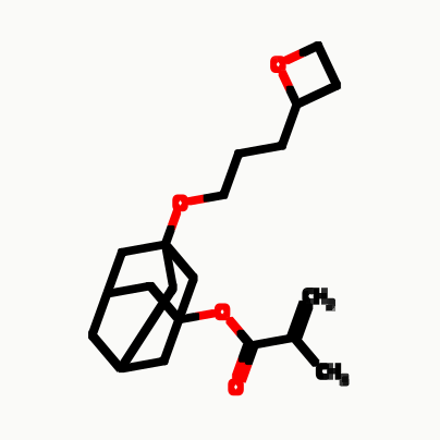 C=C(C)C(=O)OC12CC3CC(CC(OCCCC4CCO4)(C3)C1)C2